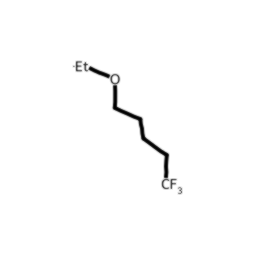 C[CH]OCCCCC(F)(F)F